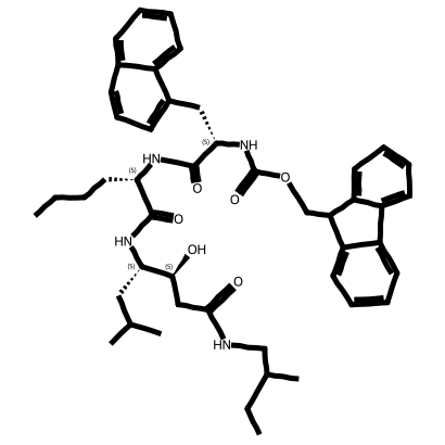 CCCC[C@H](NC(=O)[C@H](Cc1cccc2ccccc12)NC(=O)OCC1c2ccccc2-c2ccccc21)C(=O)N[C@@H](CC(C)C)[C@@H](O)CC(=O)NCC(C)CC